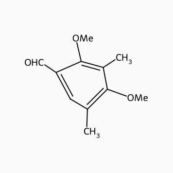 COc1c(C)cc(C=O)c(OC)c1C